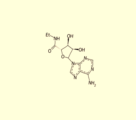 CCNC(=O)[C@H]1OC(n2cnc3c(N)ncnc32)[C@H](O)[C@@H]1O